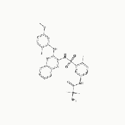 COc1ccc(C)c(Nc2nc3ccccc3nc2NS(=O)(=O)c2cc(NC(=O)C(C)(C)N)ccc2C)c1